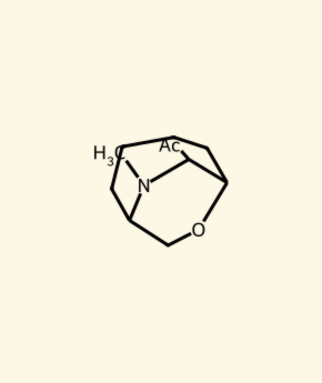 CC(=O)C1C2CCCCC(CO2)N1C